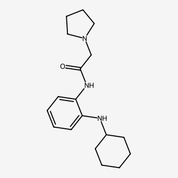 O=C(CN1CCCC1)Nc1ccccc1NC1CCCCC1